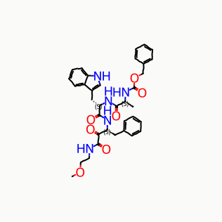 COCCNC(=O)C(=O)[C@H](Cc1ccccc1)NC(=O)[C@H](Cc1c[nH]c2ccccc12)NC(=O)[C@H](C)NC(=O)OCc1ccccc1